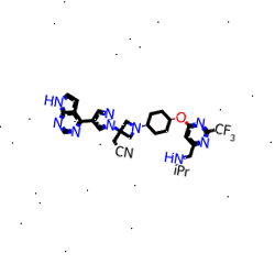 CC(C)NCc1cc(O[C@H]2CC[C@@H](N3CC(CC#N)(n4cc(-c5ncnc6[nH]ccc56)cn4)C3)CC2)nc(C(F)(F)F)n1